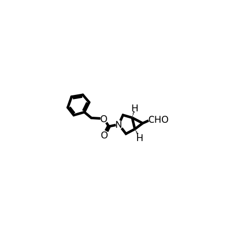 O=CC1[C@H]2CN(C(=O)OCc3ccccc3)C[C@@H]12